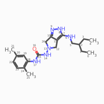 CCC(CC)CNc1[nH]nc2c1CN(NC(=O)Nc1cc(C)ccc1C)C2